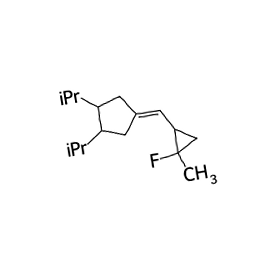 CC(C)C1CC(=CC2CC2(C)F)CC1C(C)C